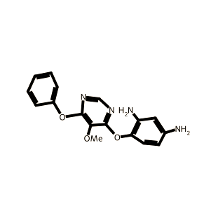 COc1c(Oc2ccccc2)ncnc1Oc1ccc(N)cc1N